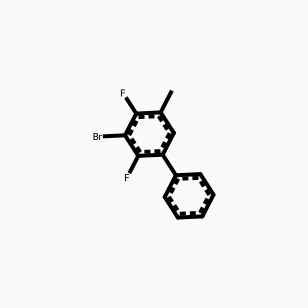 Cc1cc(-c2ccccc2)c(F)c(Br)c1F